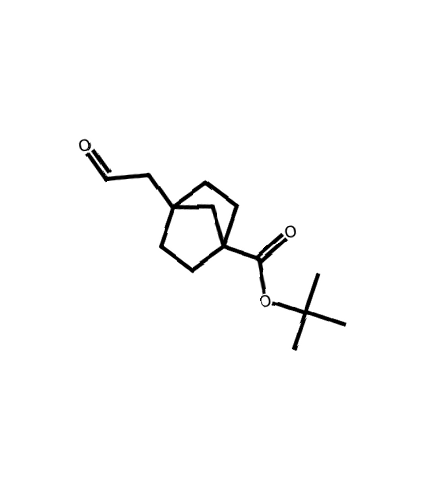 CC(C)(C)OC(=O)C12CCC(CC=O)(CC1)C2